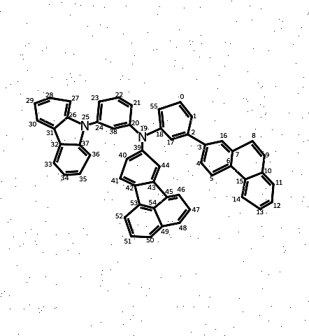 c1cc(-c2ccc3c(ccc4ccccc43)c2)cc(N(c2cccc(-n3c4ccccc4c4ccccc43)c2)c2ccc3c(c2)-c2cccc4cccc-3c24)c1